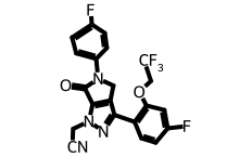 N#CCn1nc(-c2ccc(F)cc2OCC(F)(F)F)c2c1C(=O)N(c1ccc(F)cc1)C2